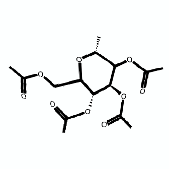 CC(=O)OCC1O[C@H](C)C(OC(C)=O)[C@@H](OC(C)=O)[C@@H]1OC(C)=O